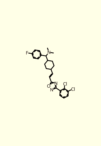 CN(C)C(c1ccc(F)cc1)C1CCC(C=Cc2nc(-c3cccc(Cl)c3Cl)no2)CC1